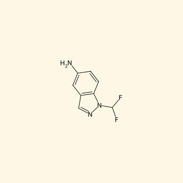 Nc1ccc2c(cnn2C(F)F)c1